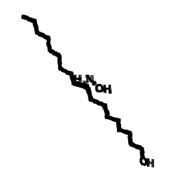 CCCCCCCCC=CCCCCCCCCO.NO